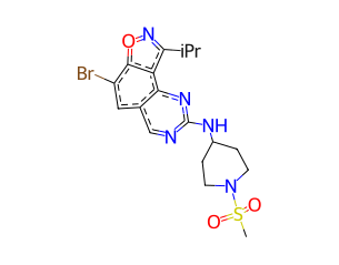 CC(C)c1noc2c(Br)cc3cnc(NC4CCN(S(C)(=O)=O)CC4)nc3c12